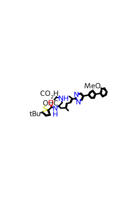 COc1ccccc1-c1ccc(-c2cnc(/C(C)=C/C=C(\C)C[C@](C=O)(CN[C@H](C)C(=O)O)NC(=O)c3ccc(C(C)(C)C)s3)nc2)cc1